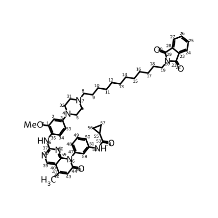 COc1cc(N2CCN(CCCCCCCCCCCCN3C(=O)c4ccccc4C3=O)CC2)ccc1Nc1ncc2c(C)cc(=O)n(-c3cccc(NC(=O)C4CC4)c3)c2n1